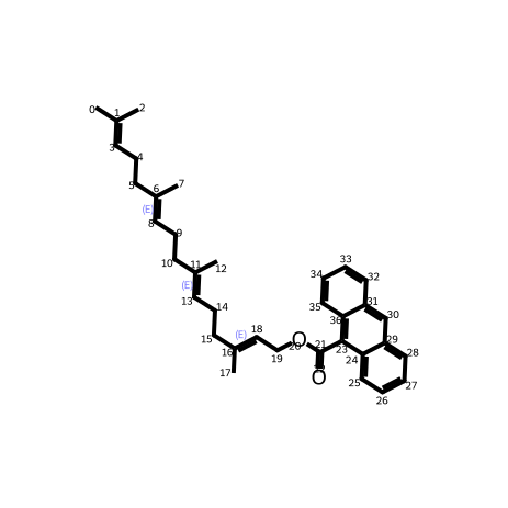 CC(C)=CCC/C(C)=C/CC/C(C)=C/CC/C(C)=C/COC(=O)c1c2ccccc2cc2ccccc12